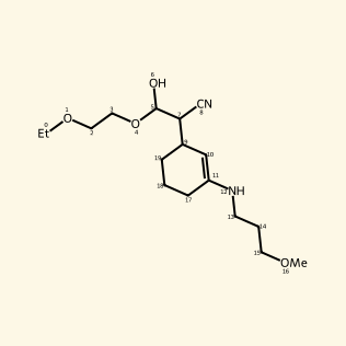 CCOCCOC(O)C(C#N)C1C=C(NCCCOC)CCC1